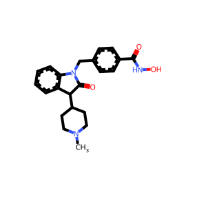 CN1CCC(C2C(=O)N(Cc3ccc(C(=O)NO)cc3)c3ccccc32)CC1